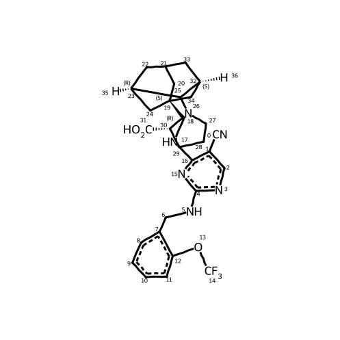 N#Cc1cnc(NCc2ccccc2OC(F)(F)F)nc1NC[C@]12CC3C[C@H](C1)C(N1CCC[C@@H]1C(=O)O)[C@@H](C3)C2